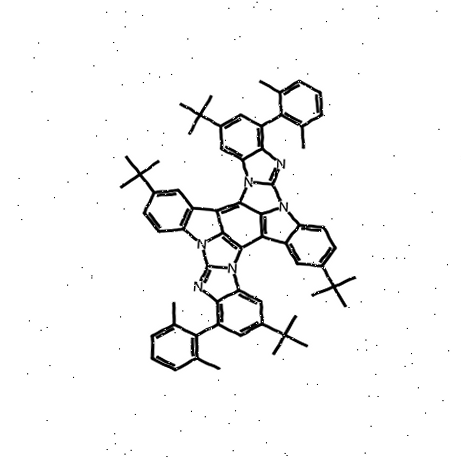 Cc1cccc(C)c1-c1cc(C(C)(C)C)cc2c1nc1n2c2c3c4cc(C(C)(C)C)ccc4n4c3c(c3c5cc(C(C)(C)C)ccc5n1c32)n1c2cc(C(C)(C)C)cc(-c3c(C)cccc3C)c2nc14